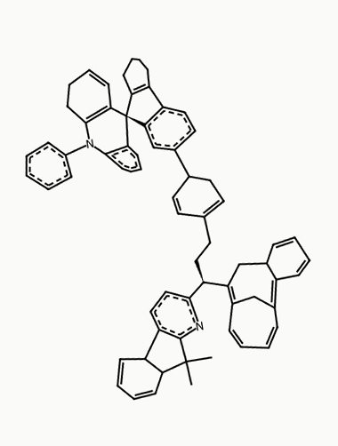 CC1(C)c2nc([C@@H](CCC3=CCC(c4ccc5c(c4)[C@@]4(C6=C(CCC=C6)N(c6ccccc6)c6ccccc64)C4=C5CCCC4)C=C3)C3=C4C=CC=CC(=C5C=CC=CC5C3)C4)ccc2C2C=CC=CC21